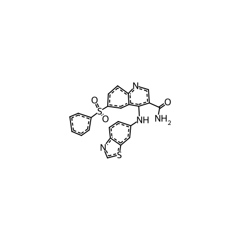 NC(=O)c1cnc2ccc(S(=O)(=O)c3ccccc3)cc2c1Nc1ccc2ncsc2c1